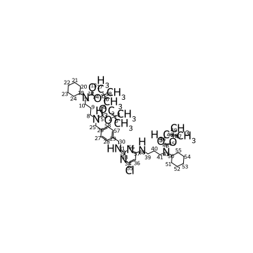 CC(C)(C)OC(=O)N(CCCN(C(=O)OC(C)(C)C)C1CCCCC1)Cc1ccc(CNc2nc(Cl)cc(NCCCN(C(=O)OC(C)(C)C)C3CCCCC3)n2)cc1